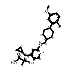 COc1ccc(F)c(C2CCC(COc3cc([C@H](C4CC4)C(C)(F)C(=O)O)ccn3)CC2)c1